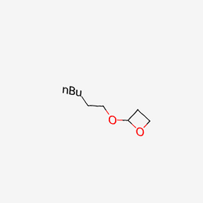 CCCCCCOC1CCO1